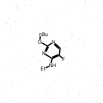 CCCCOc1ncc(F)c(NCC)n1